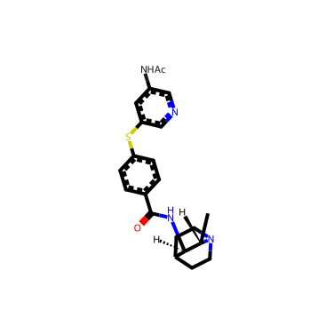 CC(=O)Nc1cncc(Sc2ccc(C(=O)N[C@@H]3C4CCN(CC4)[C@H]3C)cc2)c1